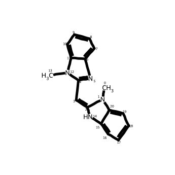 CN1/C(=C\c2nc3ccccc3n2C)Nc2ccccc21